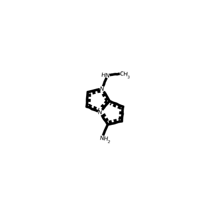 CNn1ccn2c(N)ccc12